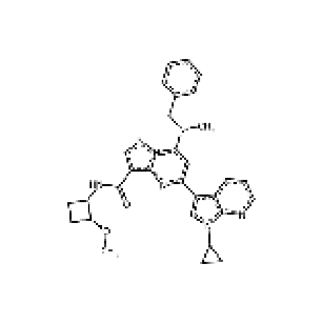 CO[C@H]1CCC1NC(=O)c1cnn2c(N(C)Cc3ccccc3)cc(-c3cn(C4CC4)c4ncccc34)nc12